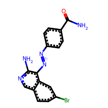 NC(=O)c1ccc(/N=N/c2c(N)ncc3ccc(Br)cc23)cc1